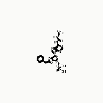 CCNC(=O)Nc1ncnc2c1ncn2[C@@H]1O[C@H](COP(=O)(O)O)C2OC(Cc3ccccc3)OC21